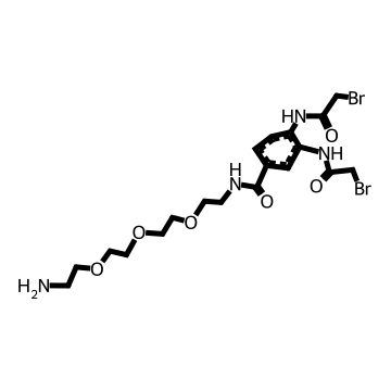 NCCOCCOCCOCCNC(=O)c1ccc(NC(=O)CBr)c(NC(=O)CBr)c1